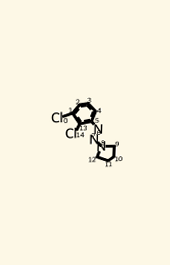 Clc1cccc(N=NN2CCCC2)c1Cl